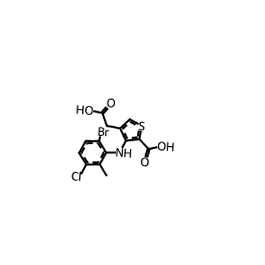 Cc1c(Cl)ccc(Br)c1Nc1c(CC(=O)O)csc1C(=O)O